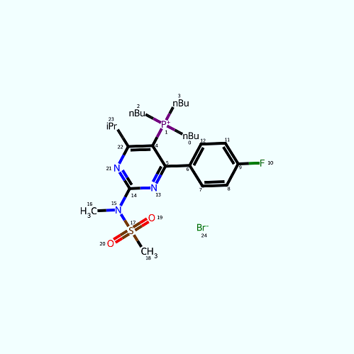 CCCC[P+](CCCC)(CCCC)c1c(-c2ccc(F)cc2)nc(N(C)S(C)(=O)=O)nc1C(C)C.[Br-]